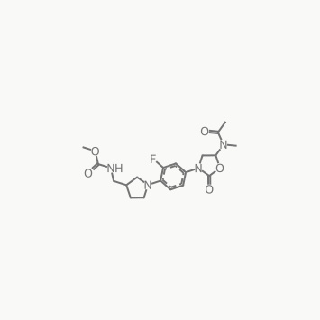 COC(=O)NCC1CCN(c2ccc(N3CC(N(C)C(C)=O)OC3=O)cc2F)C1